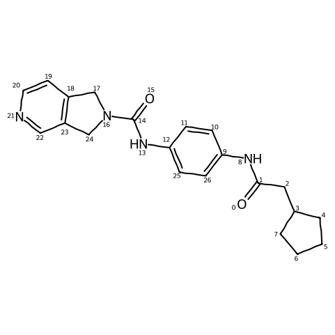 O=C(CC1CCCC1)Nc1ccc(NC(=O)N2Cc3ccncc3C2)cc1